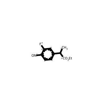 CCOC(=O)C(C)c1ccc(N=O)c(F)c1